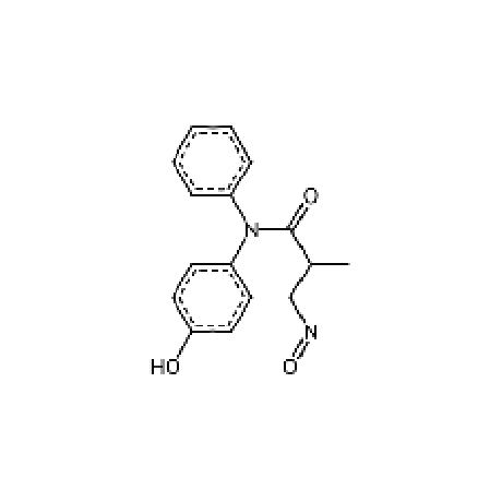 CC(CN=O)C(=O)N(c1ccccc1)c1ccc(O)cc1